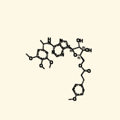 COc1ccc(CCC(=O)OC[C@H]2O[C@@H](n3cnc4c(NC(C)c5cc(OC)c(OC)c(OC)c5)ncnc43)C(O)[C@H]2O)cc1